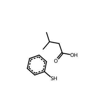 CC(C)CC(=O)O.Sc1ccccc1